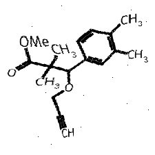 C#CCOC(c1ccc(C)c(C)c1)C(C)(C)C(=O)OC